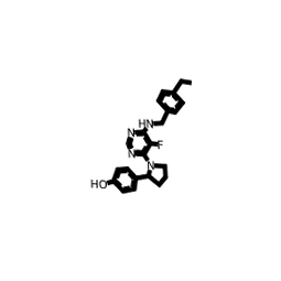 CCc1ccc(CNc2ncnc(N3CCCC3c3ccc(O)cc3)c2F)cc1